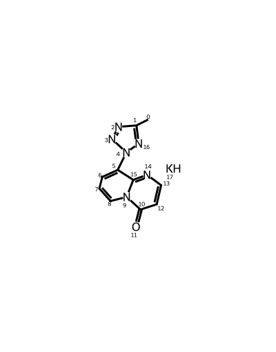 Cc1nnn(-c2cccn3c(=O)ccnc23)n1.[KH]